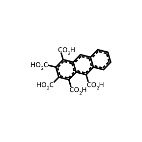 O=C(O)c1c(C(=O)O)c(C(=O)O)c2c(C(=O)O)c3ccccc3cc2c1C(=O)O